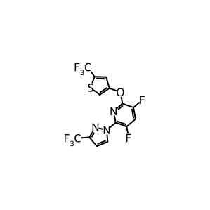 Fc1cc(F)c(-n2ccc(C(F)(F)F)n2)nc1Oc1csc(C(F)(F)F)c1